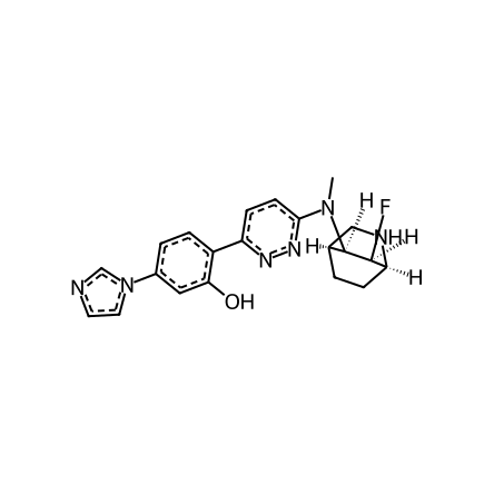 CN(c1ccc(-c2ccc(-n3ccnc3)cc2O)nn1)[C@@H]1[C@H]2CC[C@H](NC2)[C@@H]1F